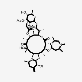 C=C1C[C@@H](C)O[C@@H](O[C@@H]2[C@@H](C)[C@H](O[C@H]3CC(C)N(C)C[C@H](C)O3)[C@@H](C)C(=O)O[C@H]([C@@H](C)CO[C@@H]3O[C@H](C)[C@@H](O)[C@@H](OC)[C@H]3OC)[C@H](C)[C@@H](OC(=O)CC(C)C)[C@@H](C)C(=O)[C@@](C)(O)C[C@@H]2C)[C@@H]1O